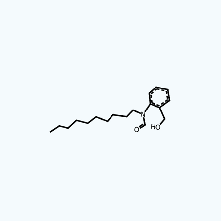 CCCCCCCCCCN(C=O)c1ccccc1CO